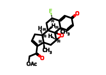 CC(=O)OCC(=O)C1=CC[C@H]2[C@@H]3C[C@H](F)C4=CC(=O)C=C[C@]4(C)[C@@]34O[C@H]4C[C@]12C